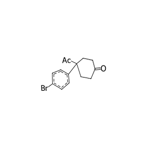 CC(=O)C1(c2ccc(Br)cc2)CCC(=O)CC1